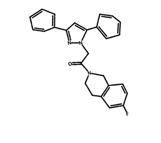 O=C(Cn1nc(-c2ccccc2)cc1-c1ccccc1)N1CCc2cc(F)ccc2C1